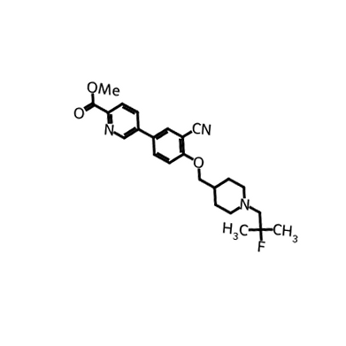 COC(=O)c1ccc(-c2ccc(OCC3CCN(CC(C)(C)F)CC3)c(C#N)c2)cn1